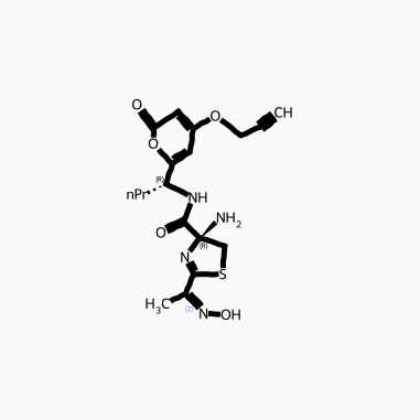 C#CCOc1cc([C@@H](CCC)NC(=O)[C@]2(N)CSC(/C(C)=N\O)=N2)oc(=O)c1